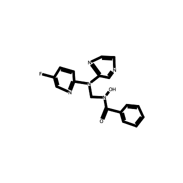 O=C(c1ccccc1)N(O)CN(c1ccc(F)cn1)c1cnccn1